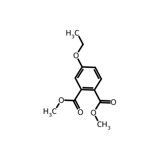 CCOc1ccc(C(=O)OC)c(C(=O)OC)c1